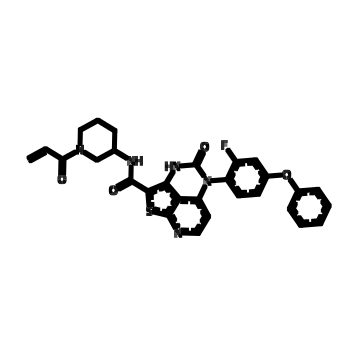 C=CC(=O)N1CCCC(NC(=O)c2sc3nccc4c3c2NC(=O)N4c2ccc(Oc3ccccc3)cc2F)C1